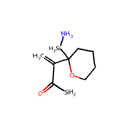 C=C(C(=O)[SiH3])C1([SiH2]N)CCCCO1